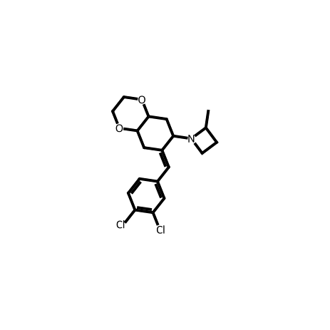 CC1CCN1C1CC2OCCOC2CC1=Cc1ccc(Cl)c(Cl)c1